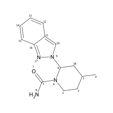 CC1CCN(C(N)=O)C(n2cc3ccccc3n2)C1